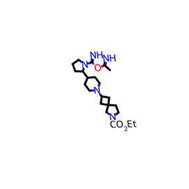 CCOC(=O)N1CCC2(CC(N3CCC(C4CCCN4C(=N)OC(C)=N)CC3)C2)C1